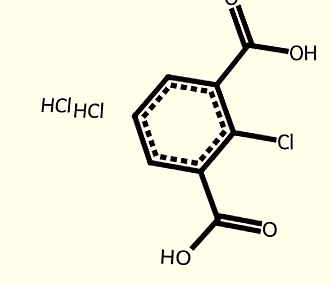 Cl.Cl.O=C(O)c1cccc(C(=O)O)c1Cl